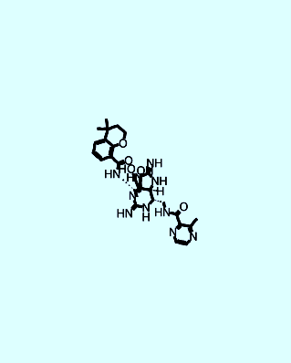 Cc1nccnc1C(=O)NC[C@@H]1NC(=N)N2C[C@H](NC(=O)c3cccc4c3OCCC4(C)C)C(O)(O)[C@@]23NC(=N)N[C@@H]13